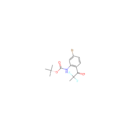 CC(C)(C)OC(=O)Nc1cc(Br)ccc1C(=O)C(C)(F)F